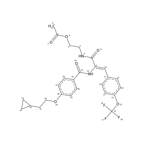 CC(=O)OCCNC(=O)/C(=C/c1ccc(OC(F)(F)F)cc1)NC(=O)c1ccc(OCCC2CC2)cc1